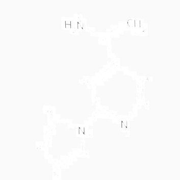 C=C(N)c1ccnc(-n2cccc2)c1